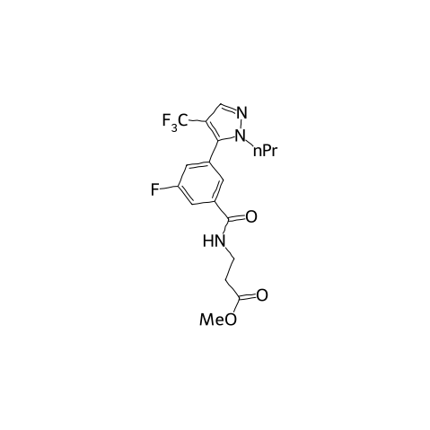 CCCn1ncc(C(F)(F)F)c1-c1cc(F)cc(C(=O)NCCC(=O)OC)c1